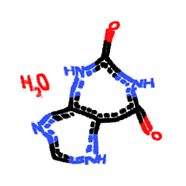 O.O=c1[nH]c(=O)c2[nH]cnc2[nH]1